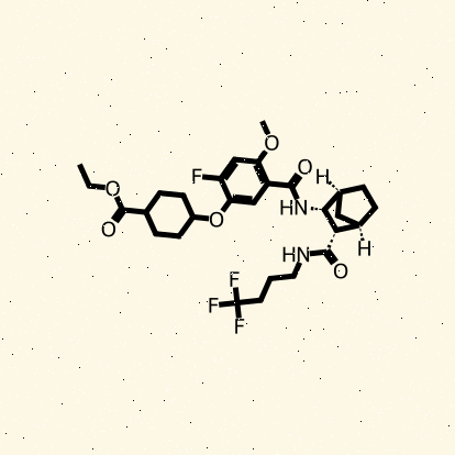 CCOC(=O)C1CCC(Oc2cc(C(=O)N[C@@H]3[C@H]4CC[C@H](C4)[C@@H]3C(=O)NCCCC(F)(F)F)c(OC)cc2F)CC1